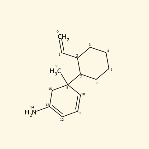 C=CC1CCCCC1C1(C)C=CC=C(N)C1